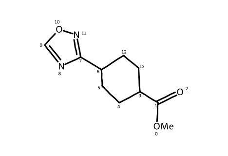 COC(=O)C1CCC(c2ncon2)CC1